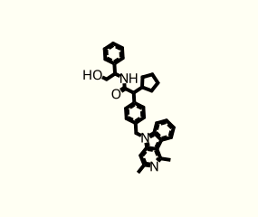 Cc1cc2c(c(C)n1)c1ccccc1n2Cc1ccc(C(C(=O)NC(CO)c2ccccc2)C2CCCC2)cc1